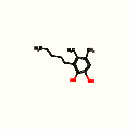 CCCCCc1c(C)c(C)cc(O)c1O